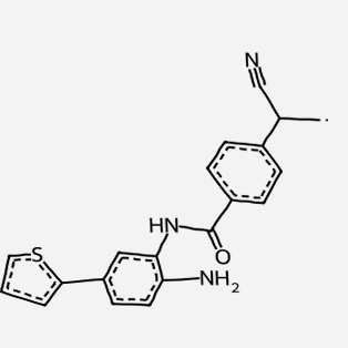 [CH2]C(C#N)c1ccc(C(=O)Nc2cc(-c3cccs3)ccc2N)cc1